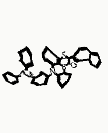 c1ccc(N(c2ccccc2)c2cccc(N3c4ccccc4B4c5oc6c(ccc7ccccc76)c5Sc5cccc3c54)c2)cc1